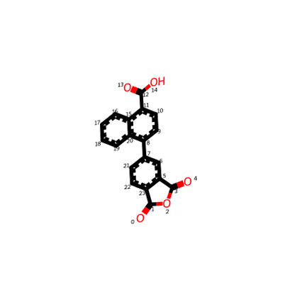 O=C1OC(=O)c2cc(-c3ccc(C(=O)O)c4ccccc34)ccc21